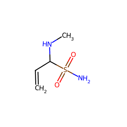 C=CC(NC)S(N)(=O)=O